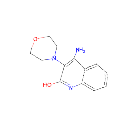 Nc1c(N2CCOCC2)c(O)nc2ccccc12